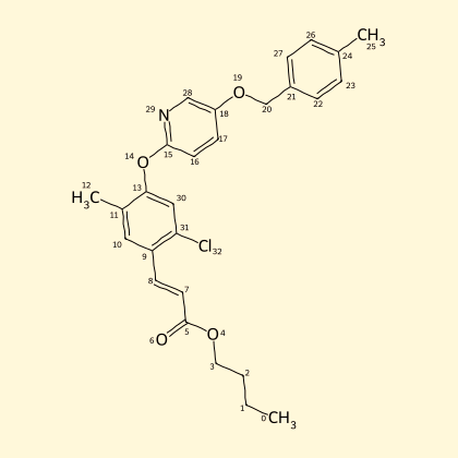 CCCCOC(=O)/C=C/c1cc(C)c(Oc2ccc(OCc3ccc(C)cc3)cn2)cc1Cl